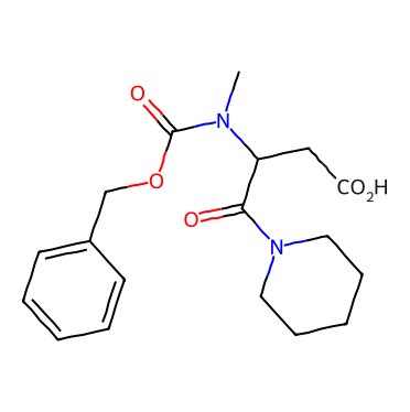 CN(C(=O)OCc1ccccc1)C(CC(=O)O)C(=O)N1CCCCC1